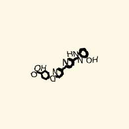 O=C(O)C1CCC(Oc2ccc(-c3ccc(-c4nc5c(O)cccc5[nH]4)cn3)cn2)CC1